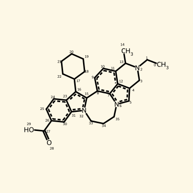 CCN1Cc2cn3c4c(ccc(c24)C1C)-c1c(C2CCCCC2)c2ccc(C(=O)O)cc2n1CCC3